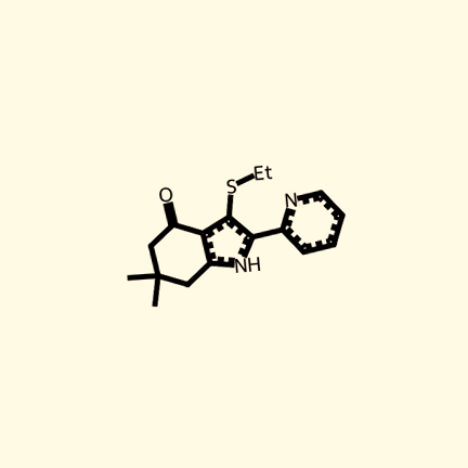 CCSc1c(-c2ccccn2)[nH]c2c1C(=O)CC(C)(C)C2